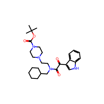 CC(C)(C)OC(=O)N1CCN(CCN(CC2CCCCC2)C(=O)C(=O)c2c[nH]c3ccccc23)CC1